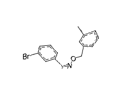 Cc1cccc(CO/N=[C]\c2cccc(Br)c2)c1